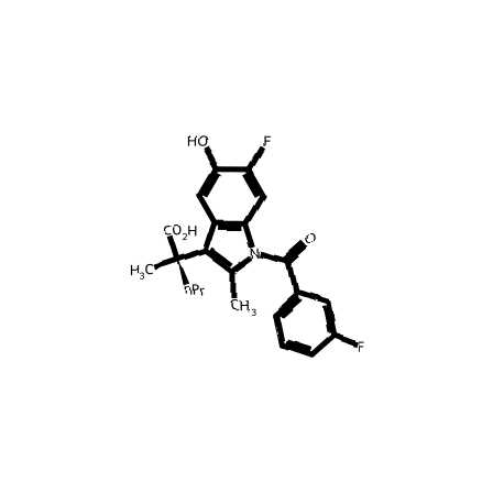 CCC[C@@](C)(C(=O)O)c1c(C)n(C(=O)c2cccc(F)c2)c2cc(F)c(O)cc12